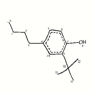 [CH2]CCCc1ccc(O)c(C(C)(C)C)c1